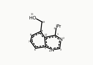 CC(C)c1ncnc2cccc(CO)c12